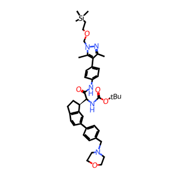 Cc1nn(COCC[Si](C)(C)C)c(C)c1-c1ccc(NC(=O)C(NC(=O)OC(C)(C)C)[C@@H]2CCc3ccc(-c4ccc(CN5CCOCC5)cc4)cc32)cc1